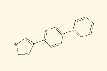 C1=CC(c2ccc(-c3ccccc3)cc2)=C[N]1